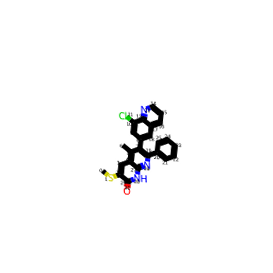 CSc1cc2c(C)c(-c3cc(Cl)c4ncccc4c3)c(-c3ccccc3)nc2[nH]c1=O